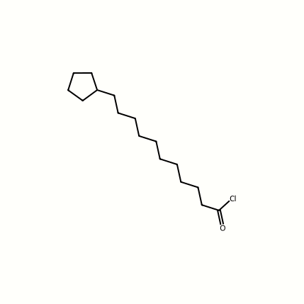 O=C(Cl)CCCCCCCCCCC1CCCC1